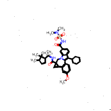 COc1ccc2c(c1)C1CC1(C(=O)N[C@@H](C)C1CCC(C)C1(C)C)Cn1c-2c(C2CCCCC2)c2ccc(C(=O)NS(=O)(=O)N(C)C)cc21